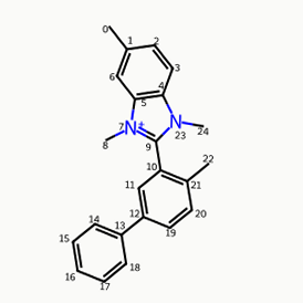 Cc1ccc2c(c1)[n+](C)c(-c1cc(-c3ccccc3)ccc1C)n2C